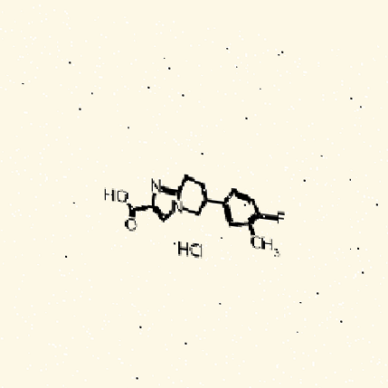 Cc1cc(C2CCc3nc(C(=O)O)cn3C2)ccc1F.Cl